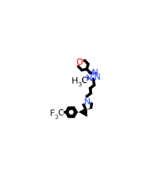 Cn1c(CCCCN2CC[C@@]3(C[C@@H]3c3ccc(C(F)(F)F)cc3)C2)nnc1C1CCOCC1